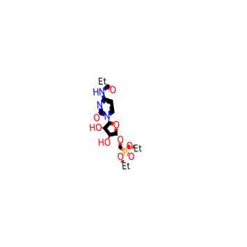 CCOP(=O)(CO[C@H]1O[C@@H](n2ccc(NC(=O)CC)nc2=O)[C@@H](O)[C@@H]1O)OCC